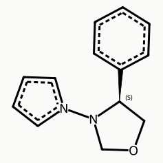 c1ccc([C@H]2COCN2n2cccc2)cc1